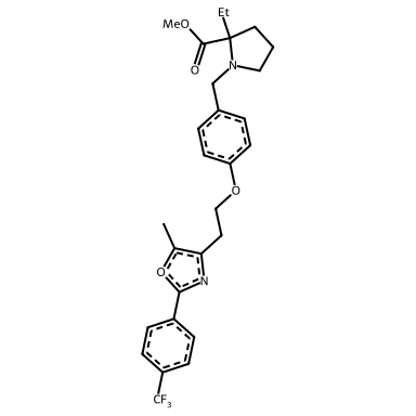 CCC1(C(=O)OC)CCCN1Cc1ccc(OCCc2nc(-c3ccc(C(F)(F)F)cc3)oc2C)cc1